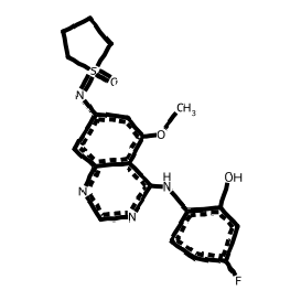 COc1cc(N=S2(=O)CCCC2)cc2ncnc(Nc3ccc(F)cc3O)c12